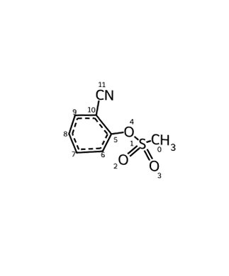 CS(=O)(=O)Oc1ccccc1C#N